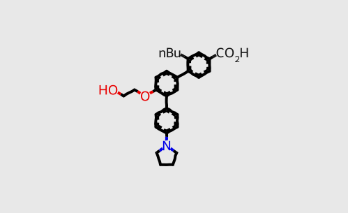 CCCCc1cc(C(=O)O)ccc1-c1ccc(OCCO)c(-c2ccc(N3CCCC3)cc2)c1